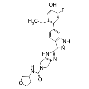 CCc1cc(O)c(F)cc1-c1ccc2c(-c3nc4c([nH]3)CN(C(=O)NC3CCOC3)C4)n[nH]c2c1